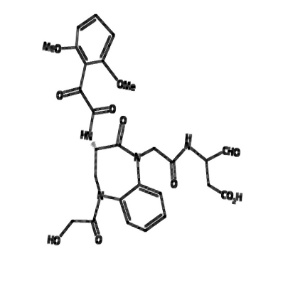 COc1cccc(OC)c1C(=O)C(=O)N[C@H]1CN(C(=O)CO)c2ccccc2N(CC(=O)NC(C=O)CC(=O)O)C1=O